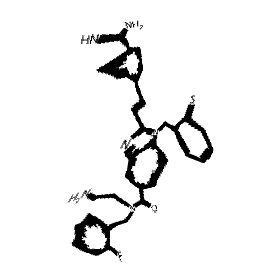 N=C(N)c1ccc(CCc2nc3cc(C(=O)N(CCN)Cc4ccccc4F)ccc3n2CC2=CC=CCC2=S)cc1